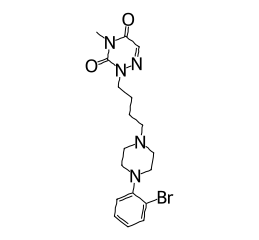 Cn1c(=O)cnn(CCCCN2CCN(c3ccccc3Br)CC2)c1=O